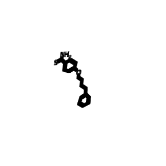 NC(=S)c1ccc(OCCCCc2ccccc2)cc1